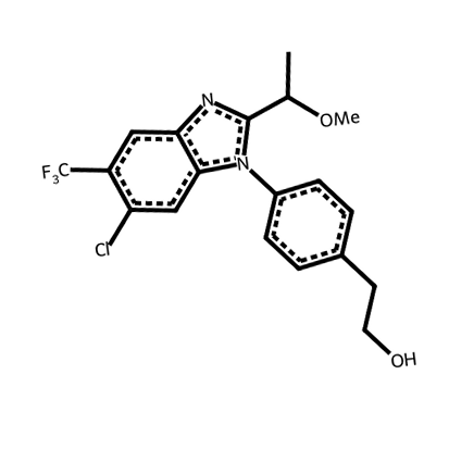 COC(C)c1nc2cc(C(F)(F)F)c(Cl)cc2n1-c1ccc(CCO)cc1